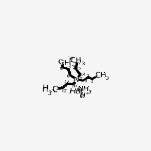 Br.CCCC[N+](CCCC)(CCCC)CCCC.N.[H+]